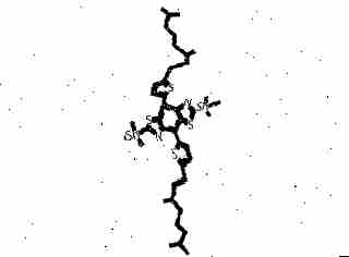 CC(C)CCCC(C)CCc1ccc(-c2c3n[c]([Sn]([CH3])([CH3])[CH3])sc3c(-c3ccc(CCC(C)CCCC(C)C)s3)c3n[c]([Sn]([CH3])([CH3])[CH3])sc23)s1